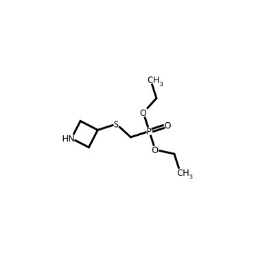 CCOP(=O)(CSC1CNC1)OCC